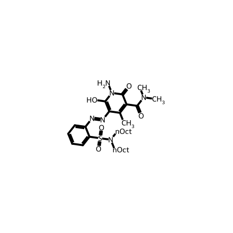 CCCCCCCCN(CCCCCCCC)S(=O)(=O)c1ccccc1/N=N/c1c(C)c(C(=O)N(C)C)c(=O)n(N)c1O